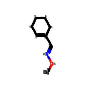 CCC(C)O/N=[C]/C1=CCCCC1